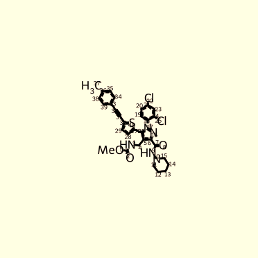 COC(=O)NCc1c(C(=O)NN2CCCCC2)nn(-c2ccc(Cl)cc2Cl)c1-c1ccc(C#Cc2ccc(C)cc2)s1